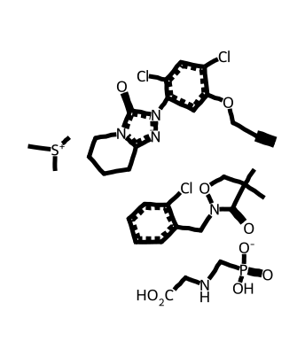 C#CCOc1cc(-n2nc3n(c2=O)CCCC3)c(Cl)cc1Cl.CC1(C)CON(Cc2ccccc2Cl)C1=O.C[S+](C)C.O=C(O)CNCP(=O)([O-])O